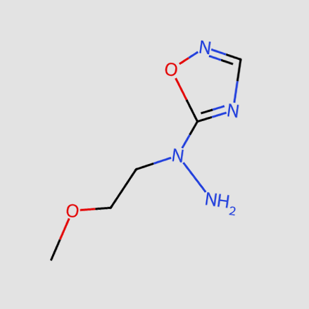 COCCN(N)c1ncno1